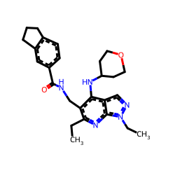 CCc1nc2c(cnn2CC)c(NC2CCOCC2)c1CNC(=O)c1ccc2c(c1)CCC2